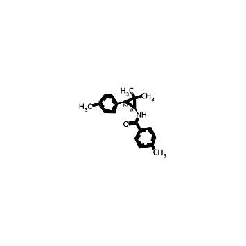 Cc1ccc(C(=O)N[C@@H]2[C@@H](c3ccc(C)cc3)C2(C)C)cc1